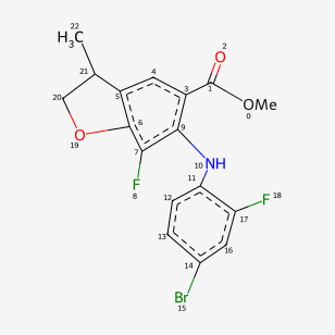 COC(=O)c1cc2c(c(F)c1Nc1ccc(Br)cc1F)OCC2C